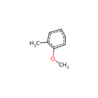 [CH2]c1ccccc1OC